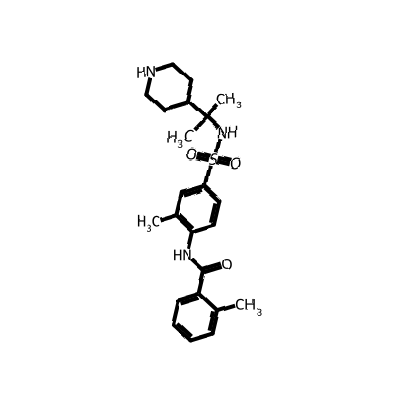 Cc1cc(S(=O)(=O)NC(C)(C)C2CCNCC2)ccc1NC(=O)c1ccccc1C